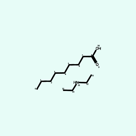 CCCCCCCCC(=O)O.CCNCC